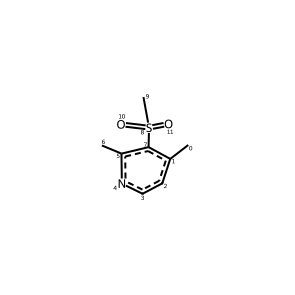 Cc1ccnc(C)c1S(C)(=O)=O